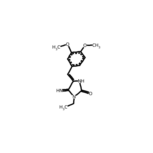 CCN1C(=N)/C(=C/c2ccc(OC)c(OC)c2)NC1=O